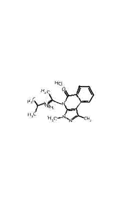 Cc1nn(C)c2c1c1ccccc1c(=O)n2C(C)NC(C)C.Cl